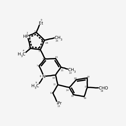 CCc1[pH]c(C)c(C2=CN(C)C(C(CC(C)C)C3=CCC(C=O)C=C3)C(C)=C2)c1C